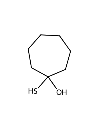 OC1(S)CCCCCC1